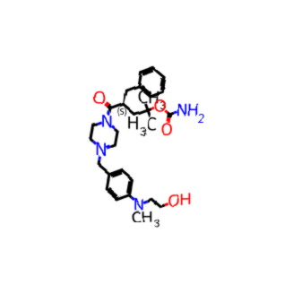 CN(CCO)c1ccc(CN2CCN(C(=O)[C@@H](Cc3ccccc3)CC(C)(C)OC(N)=O)CC2)cc1